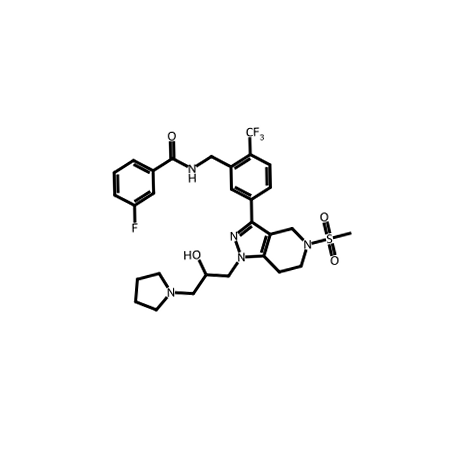 CS(=O)(=O)N1CCc2c(c(-c3ccc(C(F)(F)F)c(CNC(=O)c4cccc(F)c4)c3)nn2CC(O)CN2CCCC2)C1